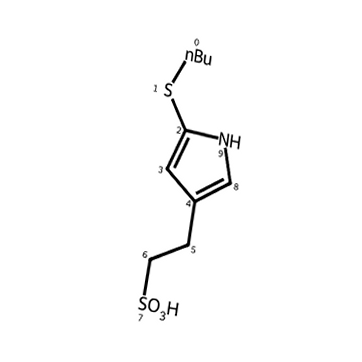 CCCCSc1cc(CCS(=O)(=O)O)c[nH]1